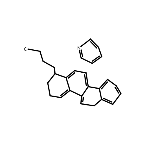 ClCCCC1CCC=c2c1ccc1c2=CCc2ccccc2-1.c1ccncc1